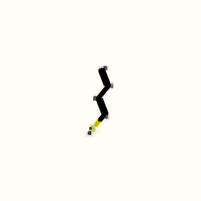 [CH]=CC=C[S]